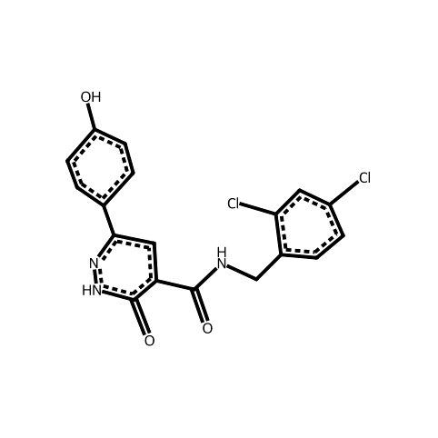 O=C(NCc1ccc(Cl)cc1Cl)c1cc(-c2ccc(O)cc2)n[nH]c1=O